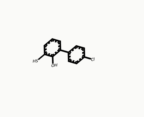 Oc1c(S)cccc1-c1ccc(Cl)cc1